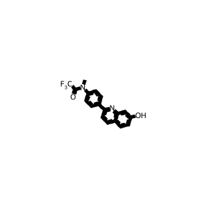 CN(C(=O)C(F)(F)F)c1ccc(-c2ccc3ccc(O)cc3n2)cc1